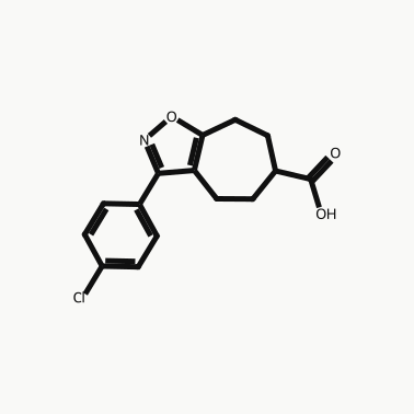 O=C(O)C1CCc2onc(-c3ccc(Cl)cc3)c2CC1